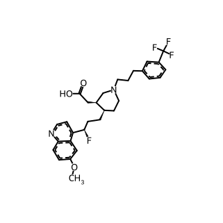 COc1ccc2nccc([C@H](F)CC[C@@H]3CCN(CCCc4cccc(C(F)(F)F)c4)C[C@@H]3CC(=O)O)c2c1